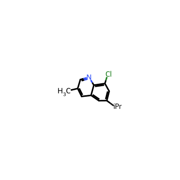 Cc1cnc2c(Cl)cc(C(C)C)cc2c1